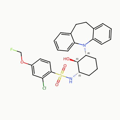 O=S(=O)(N[C@H]1CCC[C@@H](N2c3ccccc3CCc3ccccc32)[C@@H]1O)c1ccc(OCF)cc1Cl